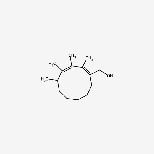 CC1=C(CO)CCCCCC(C)C(C)=C1C